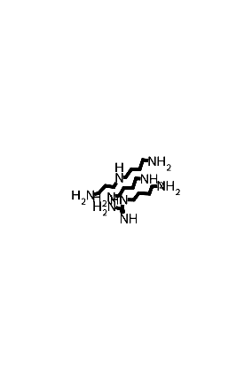 N=C(N)NCCCCN.NCCCCN.NCCCCNCCCN